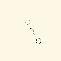 CCN1CCC(OC(=O)CCCSc2ccccc2)CC1